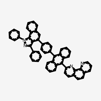 c1ccc(-c2nn(-c3ccccc3)c3c2c(-c2ccc(-c4c5ccccc5c(-c5ccc6ccc7cccnc7c6n5)c5ccccc45)cc2)cc2ccccc23)cc1